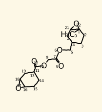 CC12CCC(COC(=O)COC(=O)C3CCC4OC4C3)CC1O2